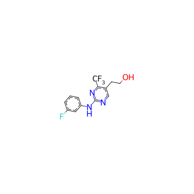 OCCc1cnc(Nc2cccc(F)c2)nc1C(F)(F)F